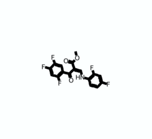 COC(=O)/C(=C/Nc1ccc(F)cc1F)C(=O)c1cc(F)c(F)cc1F